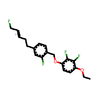 CCOc1ccc(OCc2ccc(CC/C=C/CF)cc2F)c(F)c1F